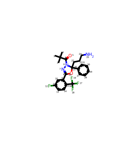 CC(C)(C)C(=O)N1N=C(c2cc(F)ccc2C(F)(F)F)OC1(CCCN)c1ccccc1